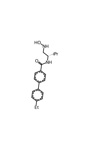 CCc1ccc(-c2ccc(C(=O)N[C@H](CNO)C(C)C)cc2)cc1